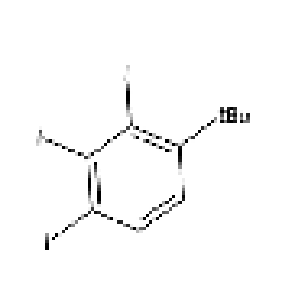 CC(C)(C)c1ccc(I)c(I)c1I